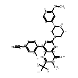 COc1cc([C@H]2CN(c3nc(-c4ccc(C#N)cc4F)c4nc(C(F)(F)F)n(C)c(=O)c4n3)CCO2)ccn1